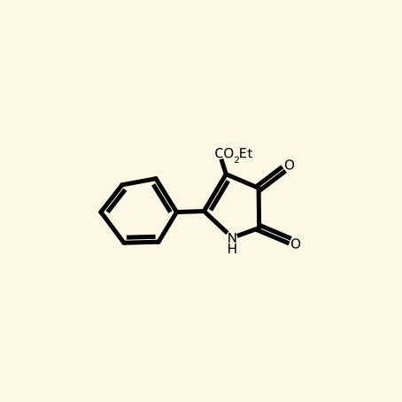 CCOC(=O)C1=C(c2ccccc2)NC(=O)C1=O